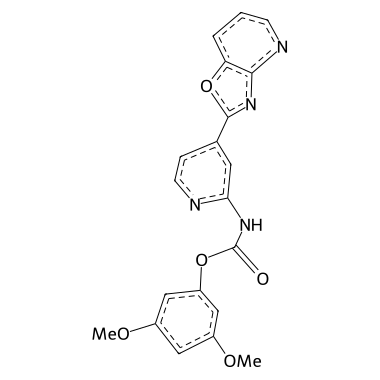 COc1cc(OC)cc(OC(=O)Nc2cc(-c3nc4ncccc4o3)ccn2)c1